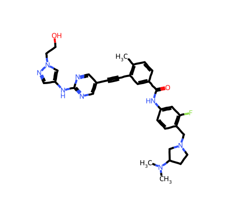 Cc1ccc(C(=O)Nc2ccc(CN3CCC(N(C)C)C3)c(F)c2)cc1C#Cc1cnc(Nc2cnn(CCO)c2)nc1